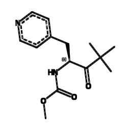 COC(=O)N[C@@H](Cc1ccncc1)C(=O)C(C)(C)C